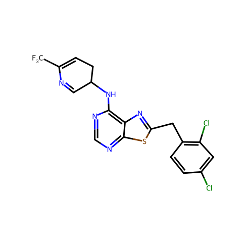 FC(F)(F)C1=CCC(Nc2ncnc3sc(Cc4ccc(Cl)cc4Cl)nc23)C=N1